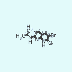 CC(C)Nc1ncc2cc(Br)c(=O)[nH]c2n1